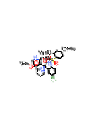 COc1ccc(S(=O)(=O)N2C(=O)C(c3cccnc3OC)(N3CCC[C@H]3C(=O)OC(C)(C)C)c3cc(Cl)ccc32)c(OC)c1